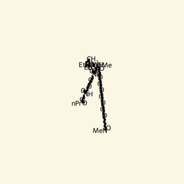 C=C1CC(CC)(CC)C(=O)N1CC(=O)NC(CCC(=O)NCCOCCOCCC(=O)NCCOC(=O)CCC)(SC)C(=O)NCCOCCOCCOCCOCCOCCOCCOCCCCCC(=O)NC